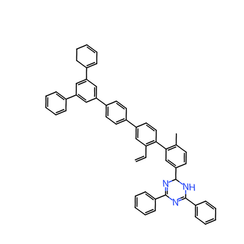 C=Cc1cc(-c2ccc(-c3cc(C4=CC=CCC4)cc(-c4ccccc4)c3)cc2)ccc1-c1cc(C2N=C(c3ccccc3)N=C(c3ccccc3)N2)ccc1C